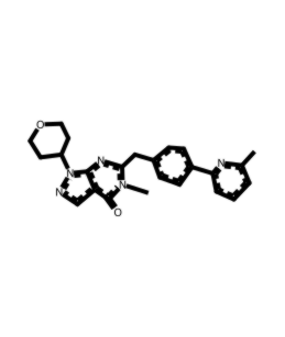 Cc1cccc(-c2ccc(Cc3nc4c(cnn4C4CCOCC4)c(=O)n3C)cc2)n1